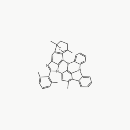 Cc1cccc(C)c1-c1nc2cc3c(c4c2n1-c1cc(C)c2c5ccccc5n5c2c1B4c1ccccc1-5)C1(C)CCC3(C)CC1